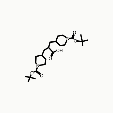 CC(C)(C)OC(=O)N1CCC(CC(CC2CCN(C(=O)OC(C)(C)C)CC2)C(=O)O)CC1